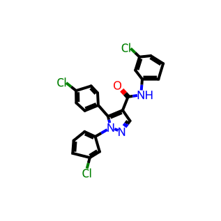 O=C(Nc1cccc(Cl)c1)c1cnn(-c2cccc(Cl)c2)c1-c1ccc(Cl)cc1